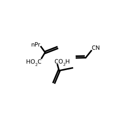 C=C(C)C(=O)O.C=C(CCC)C(=O)O.C=CC#N